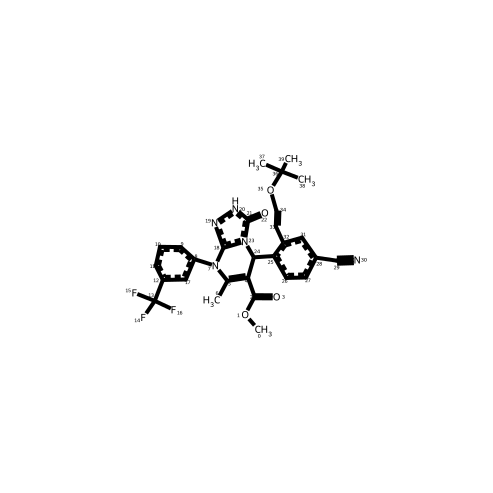 COC(=O)C1=C(C)N(c2cccc(C(F)(F)F)c2)c2n[nH]c(=O)n2C1c1ccc(C#N)cc1C=COC(C)(C)C